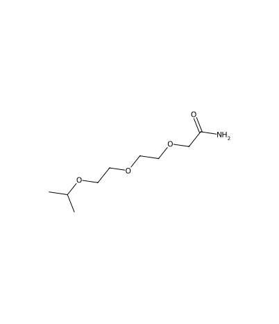 CC(C)OCCOCCOCC(N)=O